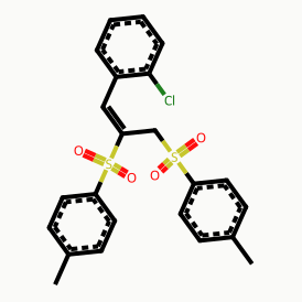 Cc1ccc(S(=O)(=O)CC(=Cc2ccccc2Cl)S(=O)(=O)c2ccc(C)cc2)cc1